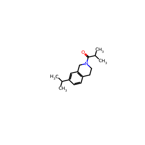 CC(C)C(=O)N1CCc2ccc(C(C)C)cc2C1